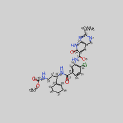 COc1ncc2cc(C(=O)Nc3cc(C(=O)NC(CCNC(=O)OC(C)(C)C)C4CCCCC4)ccc3Cl)c(=O)[nH]c2n1